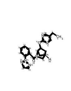 CCc1cnc(OC2C[C@H]3CC2N(C(=O)c2ccccc2-n2nccn2)C3)nc1